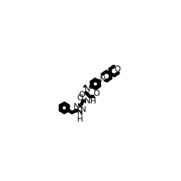 CN1C(=O)C(NC(=O)c2n[nH]c(Cc3ccccc3)n2)COc2cc(N3CCC4(CCOCC4)CC3)ccc21